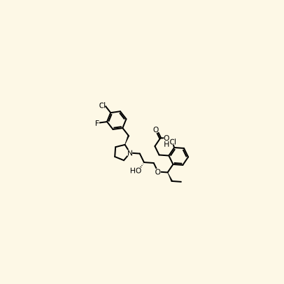 CC[C@@H](OC[C@H](O)CN1CCC[C@H]1Cc1ccc(Cl)c(F)c1)c1cccc(Cl)c1CCC(=O)O